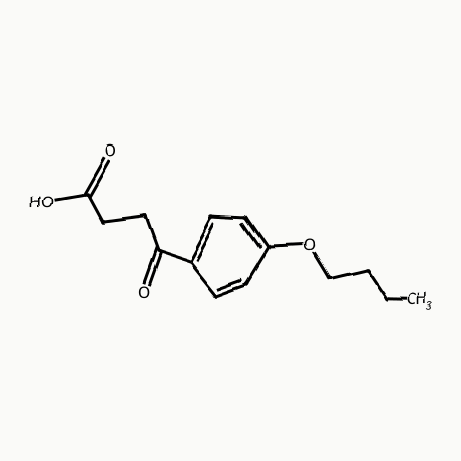 CCCCOc1ccc(C(=O)CCC(=O)O)cc1